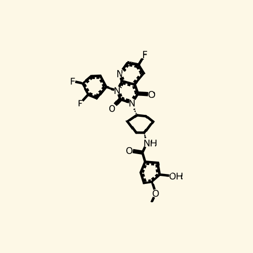 COc1ccc(C(=O)N[C@H]2CC[C@@H](n3c(=O)c4cc(F)cnc4n(-c4ccc(F)c(F)c4)c3=O)CC2)cc1O